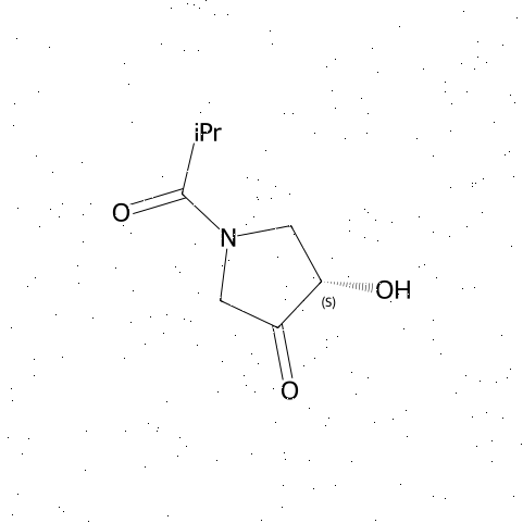 CC(C)C(=O)N1CC(=O)[C@@H](O)C1